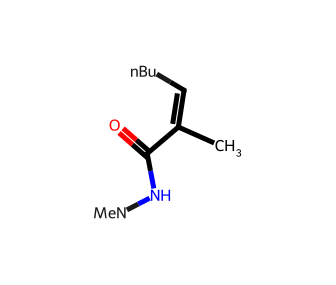 CCCCC=C(C)C(=O)NNC